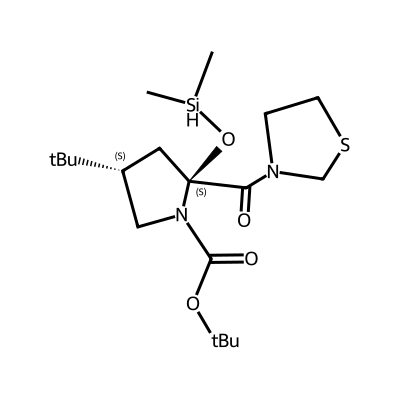 C[SiH](C)O[C@]1(C(=O)N2CCSC2)C[C@@H](C(C)(C)C)CN1C(=O)OC(C)(C)C